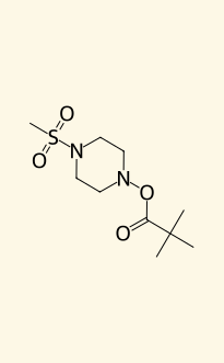 CC(C)(C)C(=O)ON1CCN(S(C)(=O)=O)CC1